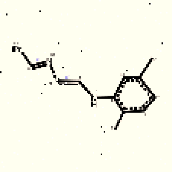 Cc1ccc(C)c(N/C=N/N=C/C(C)C)c1